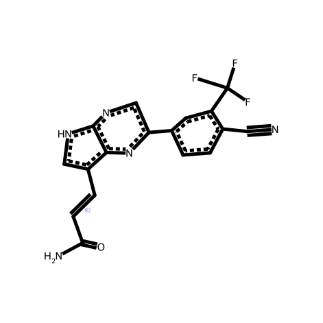 N#Cc1ccc(-c2cnc3[nH]cc(/C=C/C(N)=O)c3n2)cc1C(F)(F)F